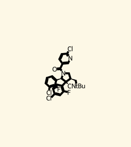 CC(C)(C)C[C@@H]1CN(C(=O)c2ccc(Cl)nc2)[C@H](c2cccc(Cl)c2F)[C@@]1(C#N)c1ccc(Cl)cc1F